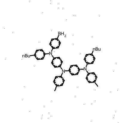 Bc1ccc(N(c2ccc(CCCC)cc2)c2ccc(N(c3ccc(C)cc3)c3ccc(N(c4ccc(C)cc4)c4ccc(CCCC)cc4)cc3)cc2)cc1